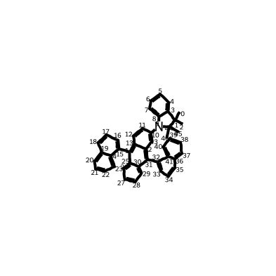 CC1(C)c2ccccc2N(c2ccc3c(-c4cccc5ccccc45)c4ccccc4c(-c4cccc5ccccc45)c3c2)C1(C)C